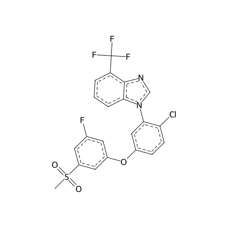 CS(=O)(=O)c1cc(F)cc(Oc2ccc(Cl)c(-n3cnc4c(C(F)(F)F)cccc43)c2)c1